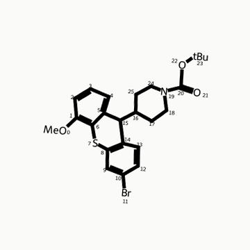 COc1cccc2c1Sc1cc(Br)ccc1C2C1CCN(C(=O)OC(C)(C)C)CC1